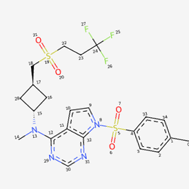 Cc1ccc(S(=O)(=O)n2ccc3c(N(C)[C@H]4C[C@H](CS(=O)(=O)CCC(F)(F)F)C4)ncnc32)cc1